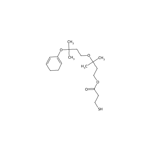 CC(C)(CCOC(=O)CCS)OCCC(C)(C)OC1=CCCC=C1